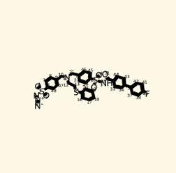 [N-]=[N+]=NS(=O)(=O)c1ccc(CN(CCSc2ccccc2)Cc2ccc(S(=O)(=O)NC(=O)c3ccc(-c4ccc(F)cc4)cc3)cc2)cc1